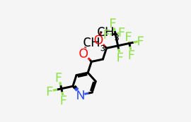 COC(CC(OC)C(F)(C(F)(F)F)C(F)(F)F)c1ccnc(C(F)(F)F)c1